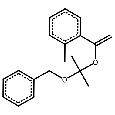 C=C(OC(C)(C)OCc1ccccc1)c1ccccc1C